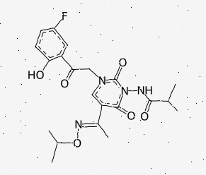 C/C(=N\OC(C)C)c1cn(CC(=O)c2cc(F)ccc2O)c(=O)n(NC(=O)C(C)C)c1=O